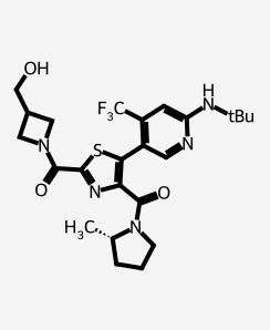 C[C@H]1CCCN1C(=O)c1nc(C(=O)N2CC(CO)C2)sc1-c1cnc(NC(C)(C)C)cc1C(F)(F)F